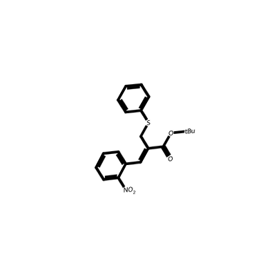 CC(C)(C)OC(=O)/C(=C/c1ccccc1[N+](=O)[O-])CSc1ccccc1